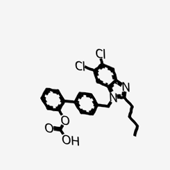 CCCCc1nc2cc(Cl)c(Cl)cc2n1Cc1ccc(-c2ccccc2OC(=O)O)cc1